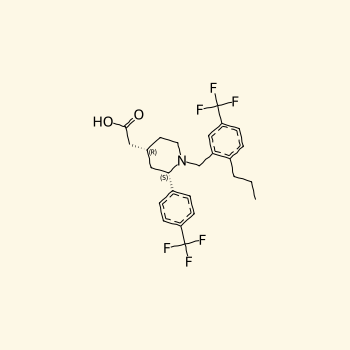 CCCc1ccc(C(F)(F)F)cc1CN1CC[C@@H](CC(=O)O)C[C@H]1c1ccc(C(F)(F)F)cc1